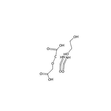 N=C=O.N=C=O.O=C(O)COCC(=O)O.OCCO